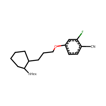 CCCCCCC1CCCCC1CCCOc1ccc(C#N)c(F)c1